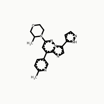 Cc1ccc(-c2cc(N3CCOCC3C)nn3c(-c4ccn[nH]4)cnc23)cn1